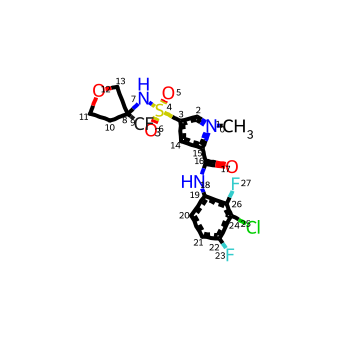 Cn1cc(S(=O)(=O)NC2(C(F)(F)F)CCOC2)cc1C(=O)Nc1ccc(F)c(Cl)c1F